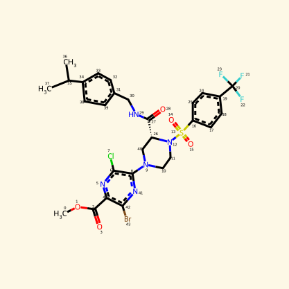 COC(=O)c1nc(Cl)c(N2CCN(S(=O)(=O)c3ccc(C(F)(F)F)cc3)[C@@H](C(=O)NCc3ccc(C(C)C)cc3)C2)nc1Br